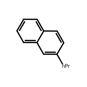 CCCc1ccc2c[c]ccc2c1